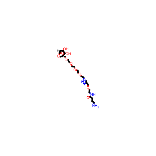 NCCCC(=O)NCCOCc1cn(CCOCCOCCOCCOC[C@]23CO[C@H](C[C@@H](O)[C@H]2O)O3)nn1